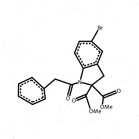 COC(=O)C1(C(=O)OC)Cc2cc(Br)ccc2N1C(=O)Cc1ccccc1